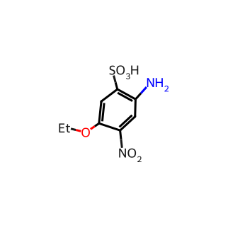 CCOc1cc(S(=O)(=O)O)c(N)cc1[N+](=O)[O-]